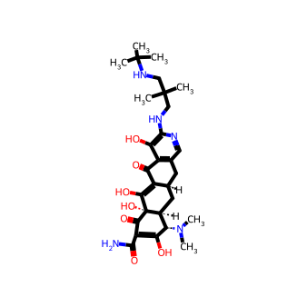 CN(C)[C@@H]1C(O)=C(C(N)=O)C(=O)[C@@]2(O)C(O)=C3C(=O)c4c(cnc(NCC(C)(C)CNC(C)(C)C)c4O)C[C@H]3C[C@@H]12